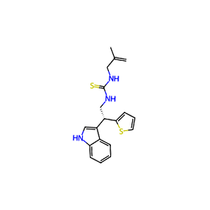 C=C(C)CNC(=S)NC[C@H](c1cccs1)c1c[nH]c2ccccc12